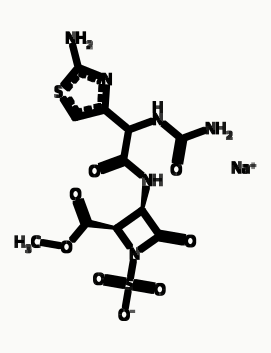 COC(=O)[C@H]1[C@@H](NC(=O)C(NC(N)=O)c2csc(N)n2)C(=O)N1S(=O)(=O)[O-].[Na+]